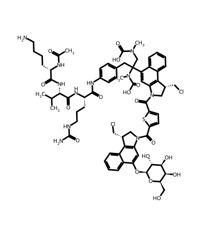 CC(=O)N[C@@H](CCCCN)C(=O)N[C@H](C(=O)N[C@@H](CCCNC(N)=O)C(=O)Nc1ccc(CC(CN(C)C(=O)O)(c2cc3c(c4ccccc24)[C@H](CCl)CN3C(=O)c2ccc(C(=O)N3C[C@@H](CCl)c4c3cc(O[C@@H]3O[C@H](CO)[C@H](O)[C@H](O)[C@H]3O)c3ccccc43)s2)N(C)C(=O)O)cc1)C(C)C